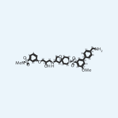 CNS(=O)(=O)c1cccc(OCC(O)CNC2COC3(CCN(S(=O)(=O)c4cc(OC)cc(-c5ccc(CN)cc5)c4)CC3)C2)c1